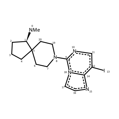 CN[C@@H]1CCCC12CCN(c1ncc(I)c3nccn13)CC2